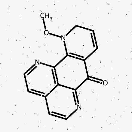 CON1CC=CC2=C1c1nccc3ccnc(c13)C2=O